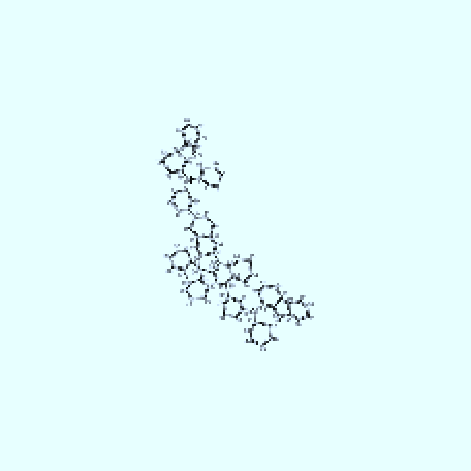 c1ccc(N(c2cccc(-c3ccc4cc5c(cc4c3)C3(c4ccccc4-c4ccccc43)c3cc(-c4cccc(N(c6ccccc6)c6cccc7c6sc6ccccc67)c4)c4ccccc4c3-5)c2)c2cccc3c2sc2ccccc23)cc1